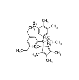 CCc1cc(CC)cc([Si](C)(c2cc(C)c(C)c(C)c2)C2(C)C(C)=C(C)C(C)=[C]2[Ti]([CH3])[CH3])c1